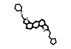 c1cc2cc(CCC3CCCCC3)sc2c2cc3ccc4cc(CCC5CCCC5)sc4c3cc12